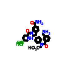 Cl.Cl.NC(=O)c1ccc2c(c1)N(C(=O)C1CCCCN1)CC2.NCc1cccc(C(=O)N(CC(=O)O)c2ccccc2)c1